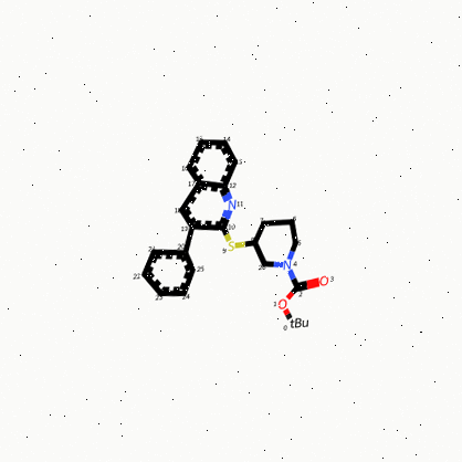 CC(C)(C)OC(=O)N1CCCC(Sc2nc3ccccc3cc2-c2ccccc2)C1